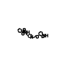 O=S(=O)(NCC1CCN(CCOc2cccc3[nH]ccc23)CC1)c1ccccc1